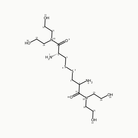 NC(CSSC[C@H](N)C(=O)N(CCO)CCO)C(=O)N(CCO)CCO